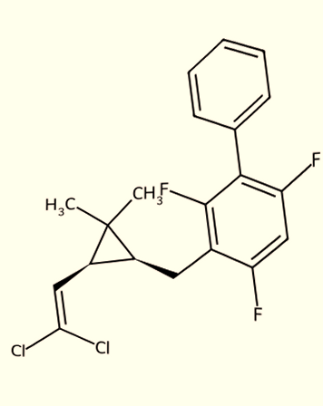 CC1(C)[C@H](C=C(Cl)Cl)[C@@H]1Cc1c(F)cc(F)c(-c2ccccc2)c1F